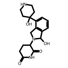 O=C1CCC(N2Cc3c(cccc3C3(O)CCNCC3)C2O)C(=O)N1